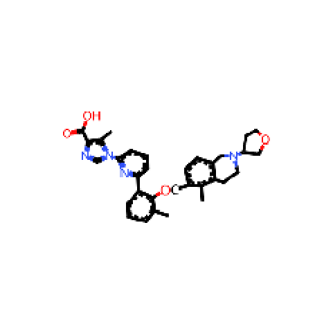 Cc1cccc(-c2cccc(-n3cnc(C(=O)O)c3C)n2)c1OCc1ccc2c(c1C)CCN(C1CCOC1)C2